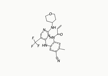 C=CC(=O)Nc1cc(C)c(C#N)cc1Nc1nc(NC2CCOCC2)ncc1C(F)(F)F